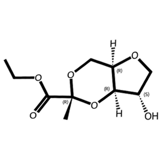 CCOC(=O)[C@]1(C)OC[C@H]2OC[C@H](O)[C@H]2O1